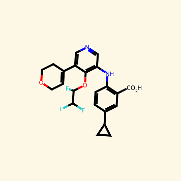 O=C(O)c1cc(C2CC2)ccc1Nc1cncc(C2=CCOCC2)c1OC(F)C(F)F